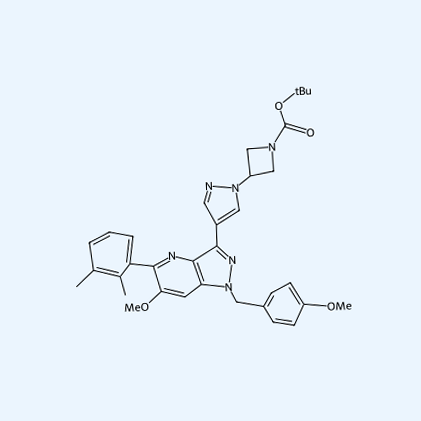 COc1ccc(Cn2nc(-c3cnn(C4CN(C(=O)OC(C)(C)C)C4)c3)c3nc(-c4cccc(C)c4C)c(OC)cc32)cc1